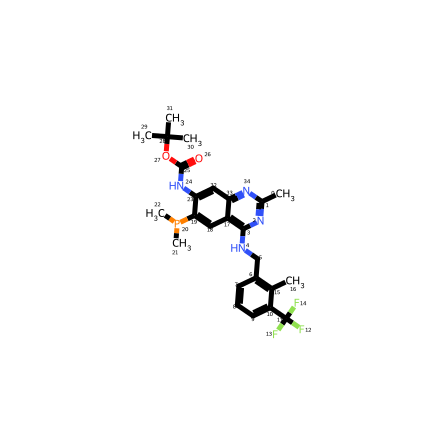 Cc1nc(NCc2cccc(C(F)(F)F)c2C)c2cc(P(C)C)c(NC(=O)OC(C)(C)C)cc2n1